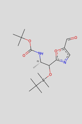 C[C@H](NC(=O)OC(C)(C)C)C(O[Si](C)(C)C(C)(C)C)c1ncc(C=O)o1